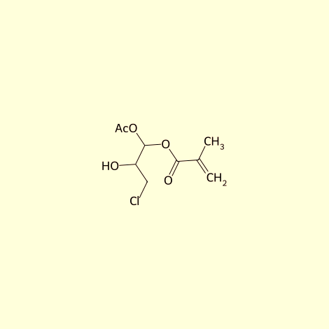 C=C(C)C(=O)OC(OC(C)=O)C(O)CCl